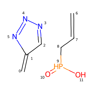 C=C1C=NN=N1.C=CC[PH](=O)O